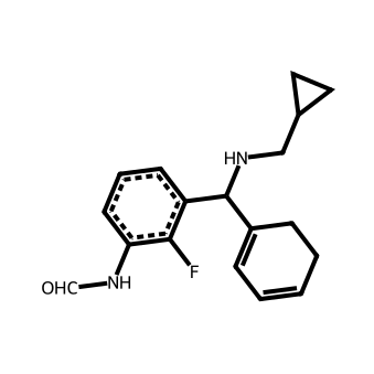 O=CNc1cccc(C(NCC2CC2)C2=CC=CCC2)c1F